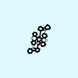 c1ccc2c(c1)Oc1ccccc1C21c2cc(-c3cccc4c3sc3ccccc34)sc2C2(c3ccccc3Oc3ccccc32)c2cc(-c3cccc4c3sc3ccccc34)sc21